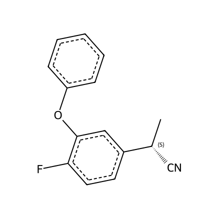 C[C@H](C#N)c1ccc(F)c(Oc2ccccc2)c1